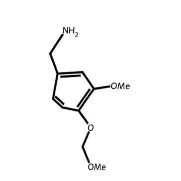 COCOc1ccc(CN)cc1OC